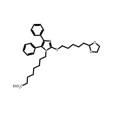 CCOC(=O)CCCCCCCn1c(SCCCCCC2OCCO2)nc(-c2ccccc2)c1-c1ccccc1